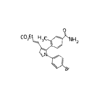 CCOC(=O)/C=C/c1ccn(-c2ccc(Br)cc2)c1-c1ccc(C(N)=O)cc1C